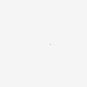 O=Cc1nc(Cl)c(Cl)s1